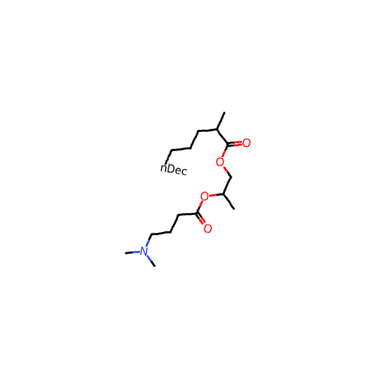 CCCCCCCCCCCCCC(C)C(=O)OCC(C)OC(=O)CCCN(C)C